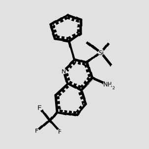 C[Si](C)(C)c1c(-c2ccccc2)nc2cc(C(F)(F)F)ccc2c1N